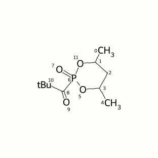 CC1CC(C)OP(=O)(C(=O)C(C)(C)C)O1